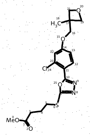 COC(=O)CCCSc1nnc(-c2ccc(OCC3(C)COC3)cc2Cl)o1